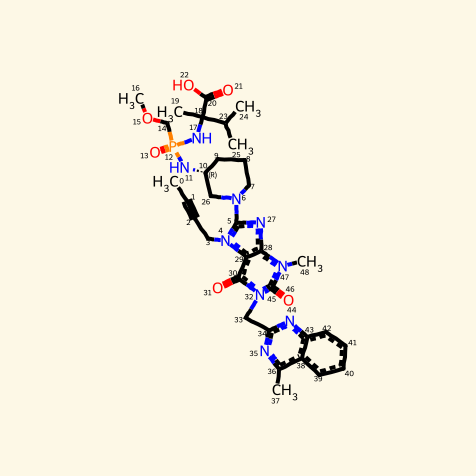 CC#CCn1c(N2CCC[C@@H](NP(=O)(COC)NC(C)(C(=O)O)C(C)C)C2)nc2c1c(=O)n(Cc1nc(C)c3ccccc3n1)c(=O)n2C